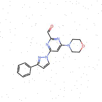 O=Cc1nc(N2CCOCC2)cc(-n2ccc(-c3ccccc3)n2)n1